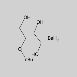 CCCCOCCO.OCCO.[BaH2]